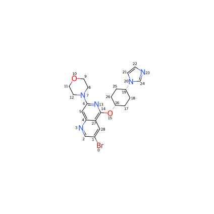 Brc1cnc2cc(N3CCOCC3)nc(O[C@H]3CC[C@@H](n4ccnc4)CC3)c2c1